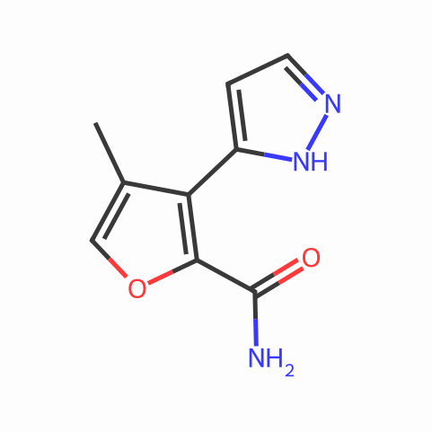 Cc1coc(C(N)=O)c1-c1ccn[nH]1